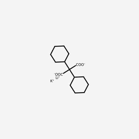 O=C([O-])C(C(=O)[O-])(C1CCCCC1)C1CCCCC1.[K+].[Li+]